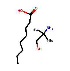 CCCCC(N)(CO)CCCC.CCCCCCCC(=O)O